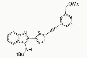 COCc1cccc(C#Cc2ccc(-c3nc4ccccn4c3NC(C)(C)C)s2)c1